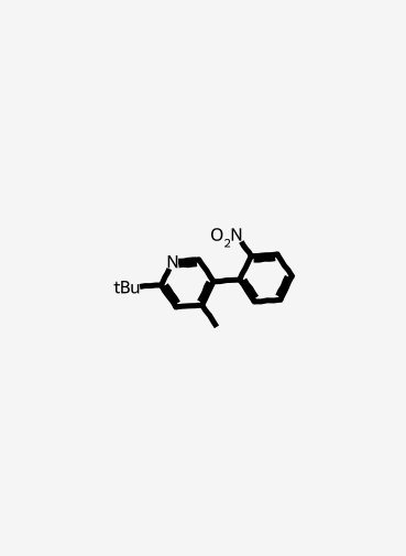 Cc1cc(C(C)(C)C)ncc1-c1ccccc1[N+](=O)[O-]